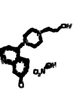 O=[N+]([O-])O.OCCN1CCN(c2ccnc3cc(Cl)ccc23)CC1